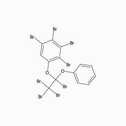 Brc1cc(OC(Br)(Oc2ccccc2)C(Br)(Br)Br)c(Br)c(Br)c1Br